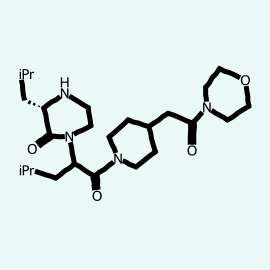 CC(C)CC(C(=O)N1CCC(CC(=O)N2CCOCC2)CC1)N1CCN[C@@H](CC(C)C)C1=O